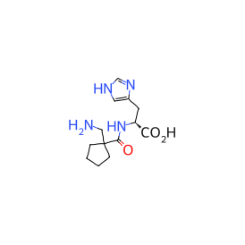 NCC1(C(=O)N[C@@H](Cc2c[nH]cn2)C(=O)O)CCCC1